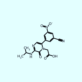 CC(C)Nc1ncc(-c2cc(C#N)cc([N+](=O)[O-])c2)n(CC(=O)O)c1=O